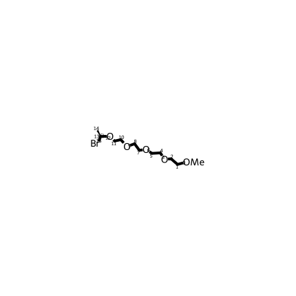 COCCOCCOCCOCCO[C@H](C)Br